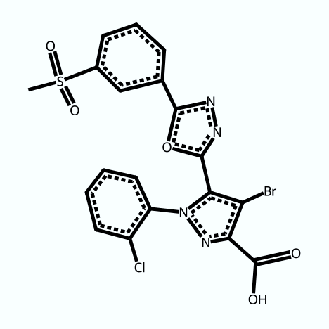 CS(=O)(=O)c1cccc(-c2nnc(-c3c(Br)c(C(=O)O)nn3-c3ccccc3Cl)o2)c1